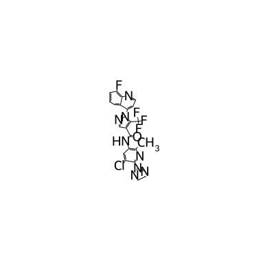 Cc1nc(-n2nccn2)c(Cl)cc1NC(=O)c1cnn(-c2ccnc3c(F)cccc23)c1C(F)(F)F